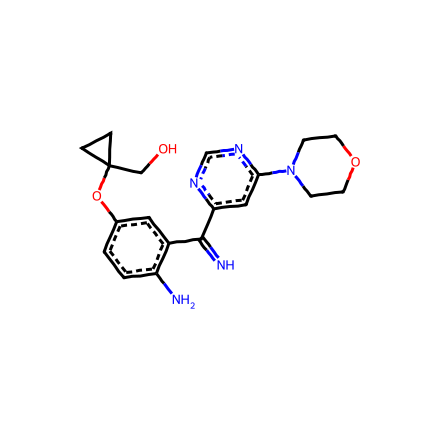 N=C(c1cc(N2CCOCC2)ncn1)c1cc(OC2(CO)CC2)ccc1N